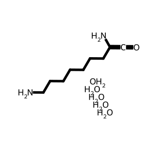 NCCCCCCCC(N)=C=O.O.O.O.O.O